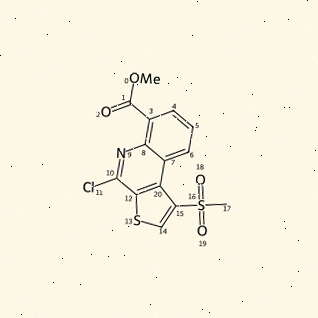 COC(=O)c1cccc2c1nc(Cl)c1scc(S(C)(=O)=O)c12